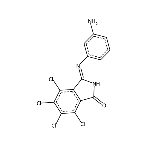 Nc1cccc(N=C2NC(=O)c3c(Cl)c(Cl)c(Cl)c(Cl)c32)c1